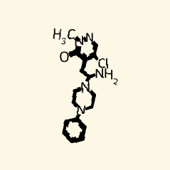 Cn1ncc(Cl)c(CC(N)N2CCN(c3ccccc3)CC2)c1=O